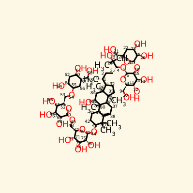 C[C@H](CC[C@@H](O[C@@H]1O[C@H](CO)[C@@H](O)[C@H](O)C1O[C@@H]1O[C@H](CO)C[C@H](O)[C@H]1O)C(C)(C)O)C1CC[C@@]2(C)C3CC=C4C(CC[C@H](O[C@@H]5O[C@H](CO[C@H]6O[C@H](CO[C@@H]7C[C@H](CO)[C@@H](O)C[C@H]7O)[C@@H](O)[C@H](O)[C@H]6O)[C@@H](O)[C@H](O)[C@H]5O)C4(C)C)[C@]3(C)[C@H](O)C[C@]12C